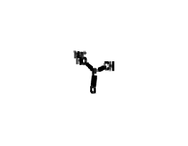 O=[P-](O)O.[Na+]